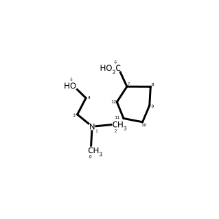 CN(C)CCO.O=C(O)C1CCCCC1